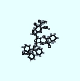 COc1ccccc1C(OC[C@H]1O[C@@H](n2cnc3c(=O)n(C(=O)C(C)C)c(N)nc32)C[C@@H]1ON1C(=O)c2ccccc2C1=O)(c1ccccc1)c1ccccc1